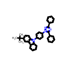 CC(C)(C)c1ccc2c(c1)c1ccccc1n2-c1ccc(-n2nc(-c3ccccc3)nc2-c2ccccc2)cc1